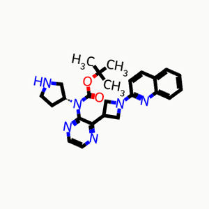 CC(C)(C)OC(=O)N(c1nccnc1C1CN(c2ccc3ccccc3n2)C1)[C@@H]1CCNC1